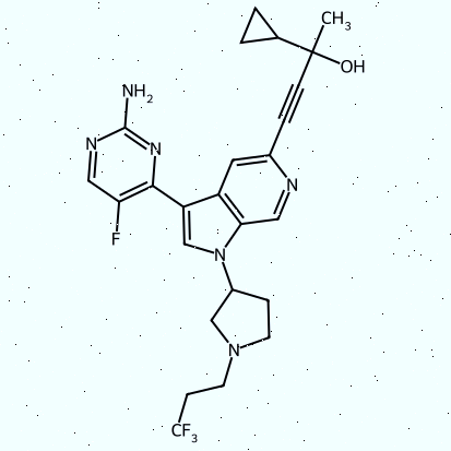 CC(O)(C#Cc1cc2c(-c3nc(N)ncc3F)cn(C3CCN(CCC(F)(F)F)C3)c2cn1)C1CC1